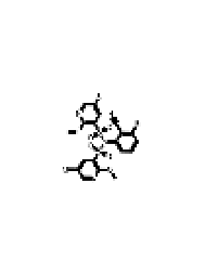 COc1ncc(Cl)cc1S(=O)(=O)N(c1cccc(Br)c1C#N)S(=O)(=O)c1cc(Cl)cnc1OC